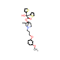 COc1cccc(OCCC[N+]23CCC(CC2)[C@@H](OC(=O)C(O)(c2cccs2)c2cccs2)C3)c1